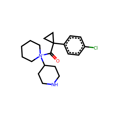 O=C(C1(c2ccc(Cl)cc2)CC1)[N+]1(C2CCNCC2)CCCCC1